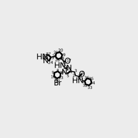 O=C(CCc1cn(-c2cccc(Br)c2)c(NC(=O)c2cccc(-c3cn[nH]c3)c2)n1)Nc1ccccc1